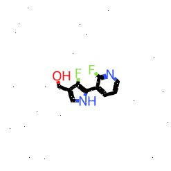 OCc1c[nH]c(-c2cccnc2F)c1F